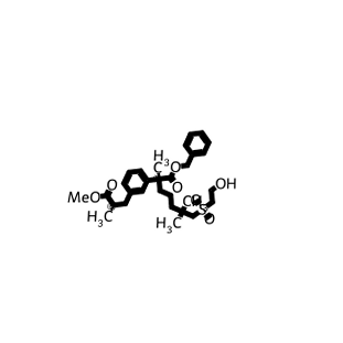 COC(=O)[C@H](C)Cc1cccc([C@@](C)(CCCC(C)(C)CS(=O)(=O)CCO)C(=O)OCc2ccccc2)c1